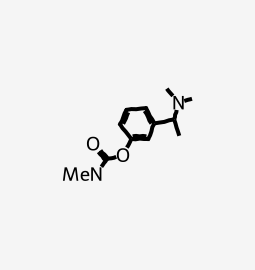 CNC(=O)Oc1cccc(C(C)N(C)C)c1